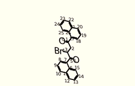 O=C(CC(Br)C(=O)c1cccc2ccccc12)c1cccc2ccccc12